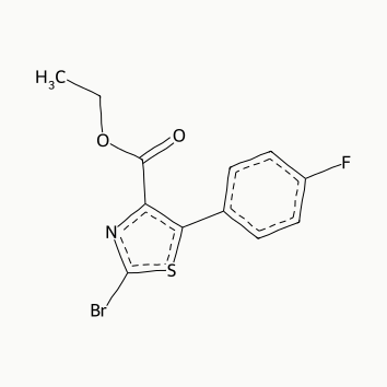 CCOC(=O)c1nc(Br)sc1-c1ccc(F)cc1